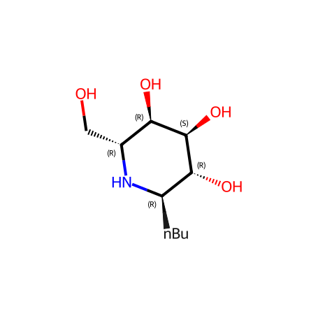 CCCC[C@H]1N[C@H](CO)[C@@H](O)[C@@H](O)[C@@H]1O